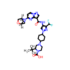 CC(C)(C)C1CN(C2CCC(n3cc(NC(=O)c4cnn5ccc(N6C[C@H]7C[C@@H]6CO7)nc45)c(C(F)F)n3)CC2)CCN1C(=O)O